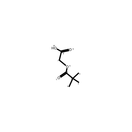 CC(C)(C)C(=O)OCC(=O)O